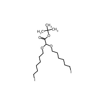 CC(C)(C)OC(=O)C(OCCCCCCI)OCCCCCCI